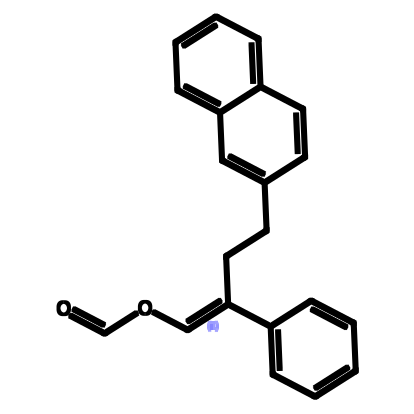 O=CO/C=C(\CCc1ccc2ccccc2c1)c1ccccc1